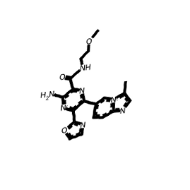 COCCNC(=O)c1nc(-c2ccc3ncc(C)n3c2)c(-c2ncco2)nc1N